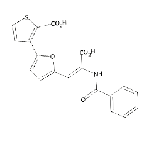 O=C(O)C(=Cc1ccc(-c2ccsc2C(=O)O)o1)NC(=O)c1ccccc1